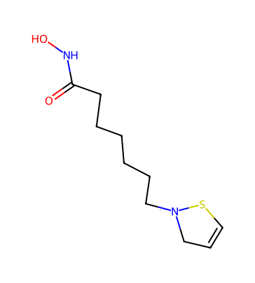 O=C(CCCCCCN1CC=CS1)NO